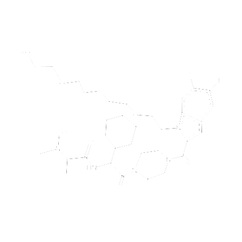 CC(C(=O)NC(C(=O)N1CCN(C(=O)c2cc3cc(F)c(F)cc3n2CCOCCOCCOCCO)CC1)C1CCCCC1)N(C)C(=O)O